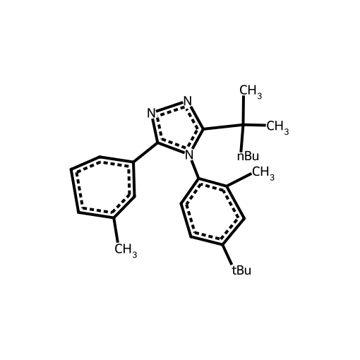 CCCCC(C)(C)c1nnc(-c2cccc(C)c2)n1-c1ccc(C(C)(C)C)cc1C